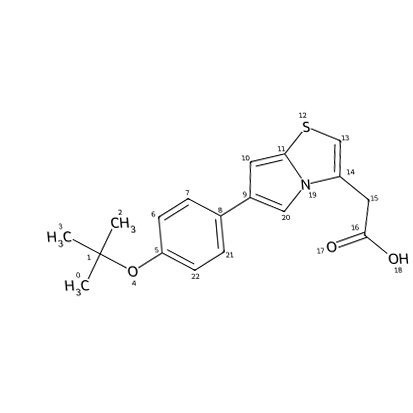 CC(C)(C)Oc1ccc(-c2cc3scc(CC(=O)O)n3c2)cc1